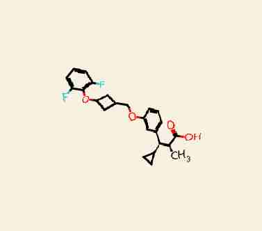 C[C@H](C(=O)O)[C@H](c1cccc(OCC2CC(Oc3c(F)cccc3F)C2)c1)C1CC1